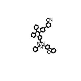 N#Cc1cccc(-c2ccc(C(=C(c3ccccc3)c3ccccc3)c3ccc(-c4nc(-c5ccccc5)nc(-c5ccc6c(c5)oc5ccccc56)n4)cc3)cc2)c1